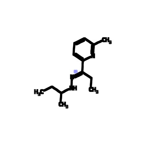 CC/C(=N\NC(C)CC)c1cccc(C)n1